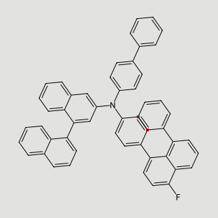 Fc1ccc(-c2ccc(N(c3ccc(-c4ccccc4)cc3)c3cc(-c4cccc5ccccc45)c4ccccc4c3)cc2)c2c(-c3ccccc3)cccc12